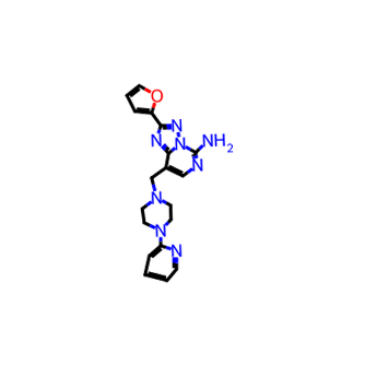 Nc1ncc(CN2CCN(c3ccccn3)CC2)c2nc(-c3ccco3)nn12